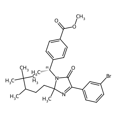 COC(=O)c1ccc([C@@H](C)N2C(=O)C(c3cccc(Br)c3)=NC2(C)CCC(C)C(C)(C)C)cc1